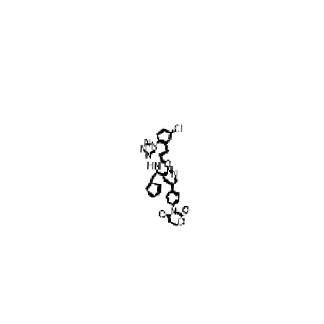 O=C(C=Cc1cc(Cl)ccc1-n1cnnn1)NC(Cc1ccccc1)c1cc(-c2ccc(N3C(=O)CCOC3=O)cc2)cnn1